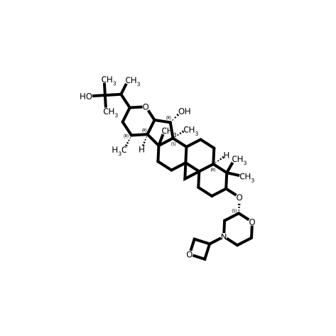 CC(C1C[C@@H](C)[C@H]2C(O1)[C@H](O)[C@@]1(C)C3CC[C@H]4C(C)(C)C(O[C@H]5CN(C6COC6)CCO5)CCC45CC35CCC21C)C(C)(C)O